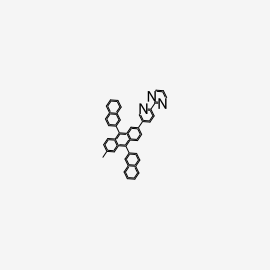 Cc1ccc2c(-c3ccc4ccccc4c3)c3cc(-c4ccc(-c5ncccn5)nc4)ccc3c(-c3ccc4ccccc4c3)c2c1